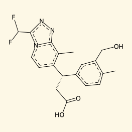 Cc1ccc([C@H](CC(=O)O)c2ccn3c(C(F)F)nnc3c2C)cc1CO